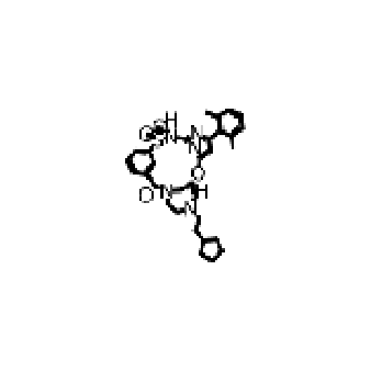 Cc1cccc(C)c1-c1cc2nc(n1)NS(=O)(=O)c1cccc(c1)C(=O)N1CCN(CCC3CCCC3)C[C@H](C1)O2